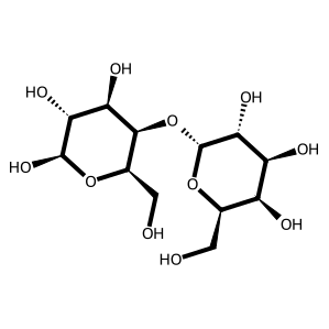 OC[C@H]1O[C@H](O[C@@H]2[C@H](O)[C@@H](O)[C@H](O)O[C@@H]2CO)[C@H](O)[C@@H](O)[C@H]1O